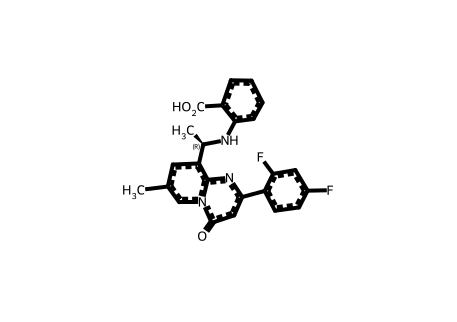 Cc1cc([C@@H](C)Nc2ccccc2C(=O)O)c2nc(-c3ccc(F)cc3F)cc(=O)n2c1